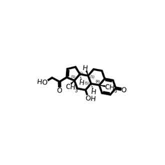 C[C@]12C=CC(=O)C=C1CC[C@@H]1[C@@H]2C(O)C[C@]2(C)C(C(=O)CO)=CC[C@@H]12